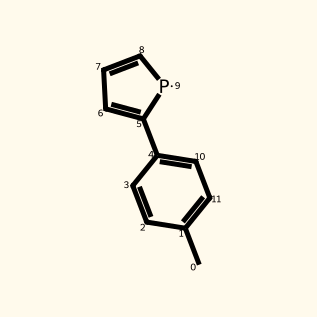 Cc1ccc(C2=CC=C[P]2)cc1